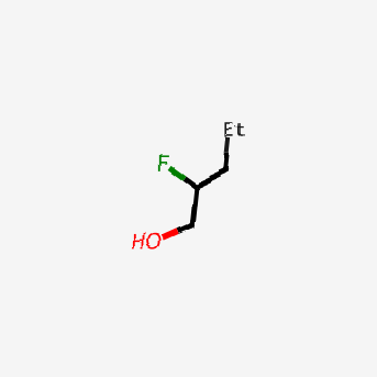 CCCC(F)CO